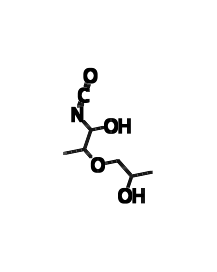 CC(O)COC(C)C(O)N=C=O